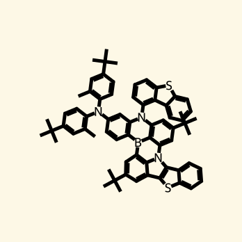 Cc1cc(C(C)(C)C)ccc1N(c1ccc2c(c1)N(c1cccc3sc4ccccc4c13)c1cc(C(C)(C)C)cc3c1B2c1cc(C(C)(C)C)cc2c4sc5ccccc5c4n-3c12)c1ccc(C(C)(C)C)cc1C